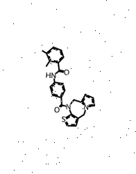 Cc1cccc(C(=O)Nc2ccc(C(=O)N3Cc4cccn4Cc4ccsc43)cc2)c1C